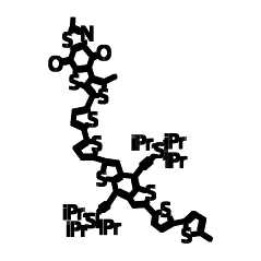 Cc1ccc(-c2ccc(-c3cc4c(C#C[Si](C(C)C)(C(C)C)C(C)C)c5sc(-c6ccc(-c7ccc(-c8sc(C)c9c%10c(sc89)C(=O)c8sc(C)nc8C%10=O)s7)s6)cc5c(C#C[Si](C(C)C)(C(C)C)C(C)C)c4s3)s2)s1